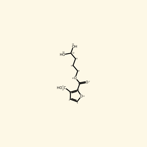 O=C(O)c1ccoc1C(=O)OCCCC(O)O